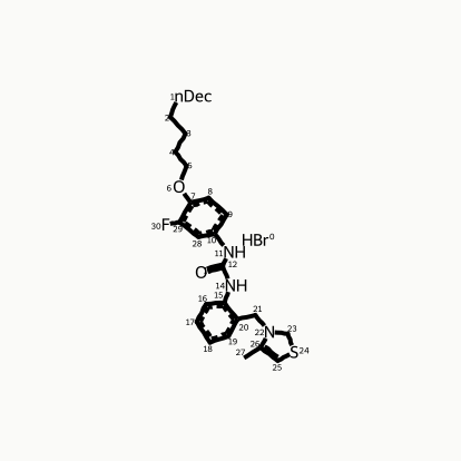 Br.CCCCCCCCCCCCCCOc1ccc(NC(=O)Nc2ccccc2CN2CSC=C2C)cc1F